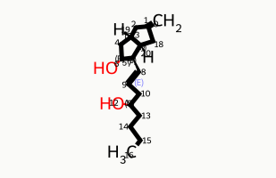 C=C1C[C@H]2C[C@@H](O)[C@H](/C=C/C[C@@H](O)CCCC)[C@@H]2C1